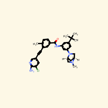 Cc1ccc(C(=O)Nc2cc(N3C[C@@H]4C[C@H]3CN4C)cc(C(C)(C)C#N)c2)cc1C#Cc1cnc(N)c(Cl)c1